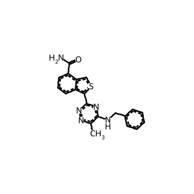 Cc1nnc(-c2scc3c(C(N)=O)cccc23)nc1NCc1ccccc1